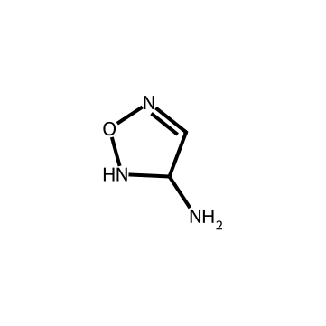 NC1C=NON1